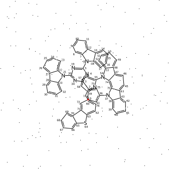 c1cc(-c2nc(-n3c4ccccc4c4ccccc43)nc(-n3c4ccccc4c4ccccc43)n2)cc(-n2c3ccccc3c3ccc4c5ccccc5n(-c5cccc(-c6ccc7sc8ccccc8c7c6)n5)c4c32)c1